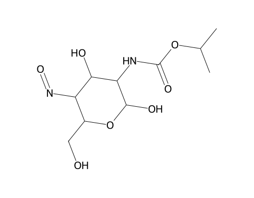 CC(C)OC(=O)NC1C(O)OC(CO)C(N=O)C1O